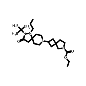 BC(B)(B)N1C(=O)CC2(CCN(C3CC4(CCN(C(=O)OCC)C4)C3)CC2)N1CCC